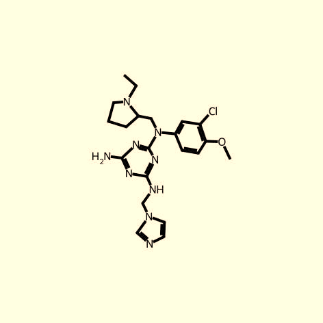 CCN1CCCC1CN(c1ccc(OC)c(Cl)c1)c1nc(N)nc(NCn2ccnc2)n1